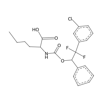 CCCCC(NC(=O)OC(c1ccccc1)C(F)(F)c1cccc(Cl)c1)C(=O)O